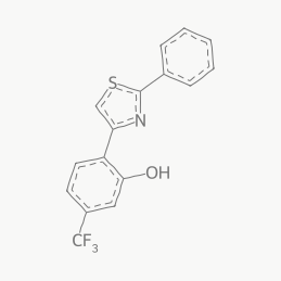 Oc1cc(C(F)(F)F)ccc1-c1csc(-c2ccccc2)n1